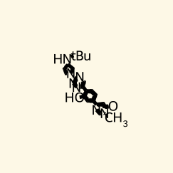 Cn1cnc(-c2ccc(-c3cnc(N4CCC(NC(C)(C)C)C4)nn3)c(O)c2)cc1=O